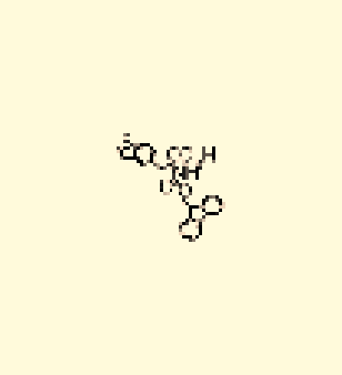 O=C(N[C@@H](Cc1ccc2sccc2c1)C(=O)O)OCC1c2ccccc2-c2ccccc21